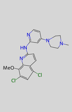 COc1c(Cl)cc(Cl)c2ccc(Nc3cc(N4CCN(C)CC4)ccn3)nc12